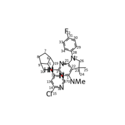 CNc1nc(NC2C3CCC2CN(c2cc(Cl)ncn2)C3)nc2c1C(C)(C)CN2c1ccc(F)cc1